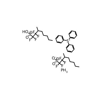 CCCCCC(C)C(F)(F)C(F)(F)S(=O)(=O)O.CCCCCC(C)C(F)(F)C(F)(F)S(=O)(=O)[O-].P.c1ccc([S+](c2ccccc2)c2ccccc2)cc1